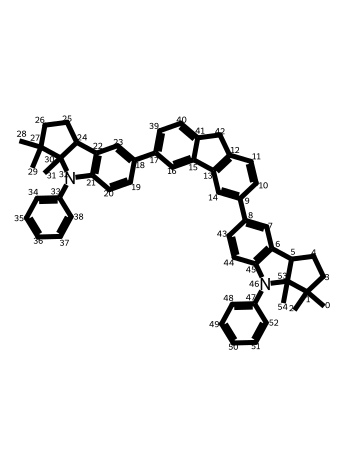 CC1(C)CCC2c3cc(-c4ccc5c(c4)-c4cc(-c6ccc7c(c6)C6CCC(C)(C)C6(C)N7c6ccccc6)ccc4C5)ccc3N(c3ccccc3)C21C